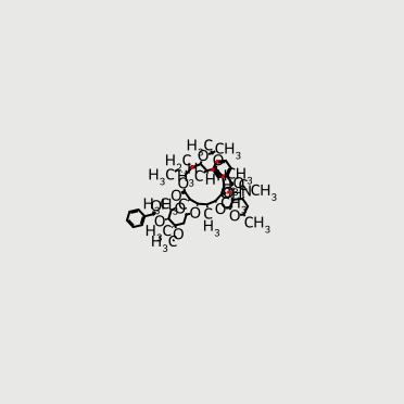 C=C1[C@@H](CC)OC(=O)[C@H](C)[C@@H](OC2C[C@@](C)(OC)[C@@H](OC(=O)c3ccccc3)[C@H](C)O2)[C@H](C)[C@@H](OC2O[C@H](C)C[C@H](N(C)C)[C@H]2OC(=O)c2ccccc2)[C@@](C)(O)C[C@@H](C)[C@@H]2OC(C)(C)O[C@@H]1[C@H]2C